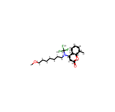 COCCCCCCCN(c1cc(=O)oc2c(C)cccc12)C(F)(F)F